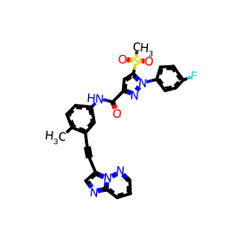 Cc1ccc(NC(=O)c2cc(S(C)(=O)=O)n(-c3ccc(F)cc3)n2)cc1C#Cc1cnc2cccnn12